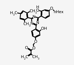 C=C(C)C(=O)OCOc1ccc(-c2nc(-c3ccc(OCCCCCC)cc3O)nc(-c3c(C)cc(C)cc3C)n2)c(O)c1